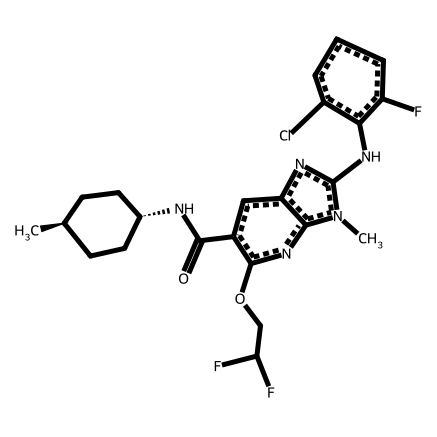 Cn1c(Nc2c(F)cccc2Cl)nc2cc(C(=O)N[C@H]3CC[C@H](C)CC3)c(OCC(F)F)nc21